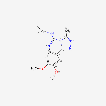 COc1cc2nc(NC3CC3)n3c(C)nnc3c2cc1OC